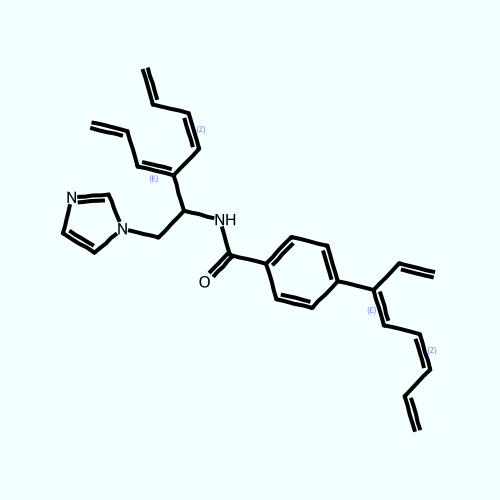 C=C/C=C\C=C(/C=C)c1ccc(C(=O)NC(Cn2ccnc2)C(/C=C\C=C)=C/C=C)cc1